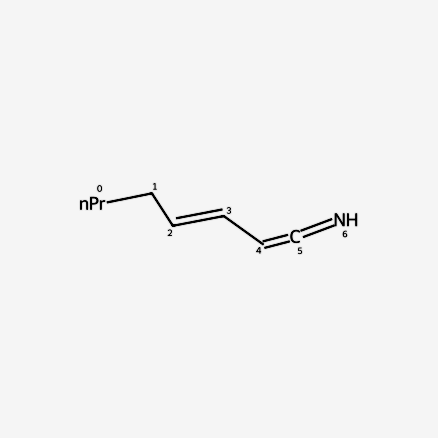 CCCCC=CC=C=N